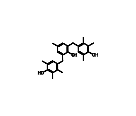 Cc1cc(Cc2cc(C)c(O)c(C)c2C)c(O)c(Cc2cc(C)c(O)c(C)c2C)c1